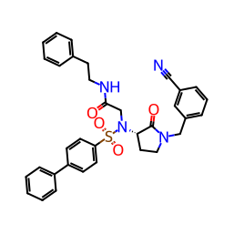 N#Cc1cccc(CN2CC[C@H](N(CC(=O)NCCc3ccccc3)S(=O)(=O)c3ccc(-c4ccccc4)cc3)C2=O)c1